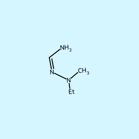 CCN(C)/N=C\N